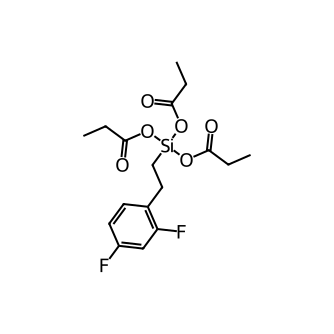 CCC(=O)O[Si](CCc1ccc(F)cc1F)(OC(=O)CC)OC(=O)CC